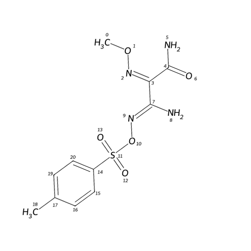 CON=C(C(N)=O)C(N)=NOS(=O)(=O)c1ccc(C)cc1